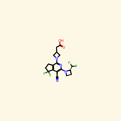 N#Cc1c(N2CC[C@@H]2C(F)F)nc(N2CC(CC(=O)O)C2)c2c1C(F)(F)CC2